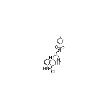 Cc1ccc(S(=O)(=O)OCC2C[C@@H]3c4cccc5[nH]c(Cl)c(c45)C[C@H]3N(C)C2)cc1